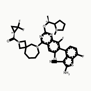 C[C@H](Oc1nc(N2CCCCC3(CN(C(=O)[C@H]4CC4(F)F)C3)C2)c2cc(Cl)c(-c3ccc(F)c4sc(N)c(C#N)c34)c(F)c2n1)C1CCCN1C